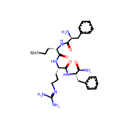 CSCC[C@H](NC(=O)[C@@H](N)Cc1ccccc1)C(=O)N[C@@H](CCCN=C(N)N)C(=O)N[C@@H](Cc1ccccc1)C(N)=O